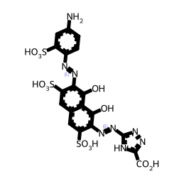 Nc1ccc(/N=N/c2c(S(=O)(=O)O)cc3cc(S(=O)(=O)O)c(/N=N/c4nnc(C(=O)O)[nH]4)c(O)c3c2O)c(S(=O)(=O)O)c1